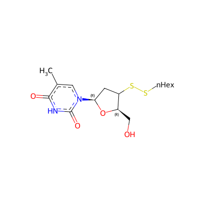 CCCCCCSSC1C[C@H](n2cc(C)c(=O)[nH]c2=O)O[C@@H]1CO